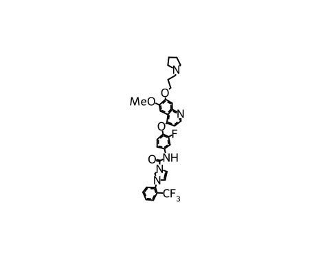 COc1cc2c(Oc3ccc(NC(=O)N4C=CN(c5ccccc5C(F)(F)F)C4)cc3F)ccnc2cc1OCCCN1CCCC1